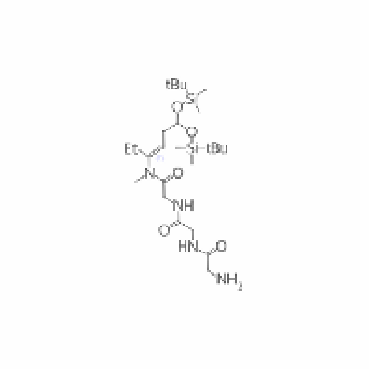 CC/C(=C\CC(O[Si](C)(C)C(C)(C)C)O[Si](C)(C)C(C)(C)C)N(C)C(=O)CNC(=O)CNC(=O)CN